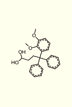 COc1cccc(C(CCC(O)O)(c2ccccc2)c2ccccc2)c1OC